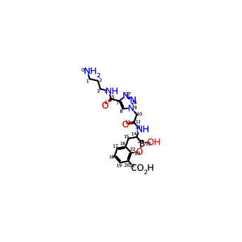 NCCCNC(=O)c1cn(CC(=O)NC2Cc3cccc(C(=O)O)c3OB2O)nn1